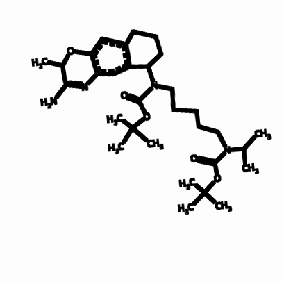 CC1Oc2cc3c(cc2N=C1N)C(N(CCCCCN(C(=O)OC(C)(C)C)C(C)C)C(=O)OC(C)(C)C)CCC3